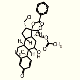 CC(=O)OCC(=O)[C@@]1(OC(=O)c2ccccc2)[C@@H](CCl)C[C@H]2[C@@H]3CCC4=CC(=O)C=C[C@]4(C)[C@H]3C(O)C[C@@]21C